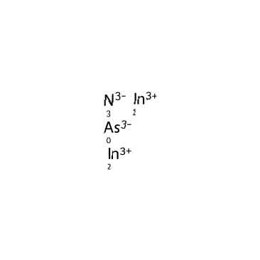 [As-3].[In+3].[In+3].[N-3]